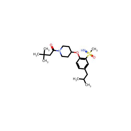 CC(C)Cc1ccc(OC2CCN(C(=O)CC(C)(C)C)CC2)c(S(C)(=N)=O)c1